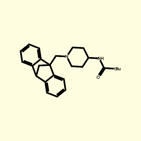 CC(C)(C)C(=O)NC1CCN(CC23CC(c4ccccc42)c2ccccc23)CC1